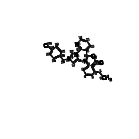 CCc1cccc2nc(-c3cccnc3-n3cc[n+](Cc4ccc(Cl)cc4)c3)oc(=O)c12